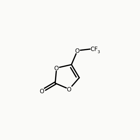 O=c1occ(OC(F)(F)F)o1